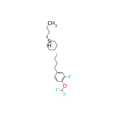 CCCC[Si@H]1CC[C@H](CCCCc2ccc(OC(F)F)c(F)c2)CC1